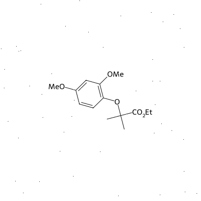 CCOC(=O)C(C)(C)Oc1ccc(OC)cc1OC